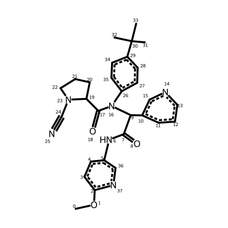 COc1ccc(NC(=O)C(c2cccnc2)N(C(=O)C2CCCN2C#N)c2ccc(C(C)(C)C)cc2)cn1